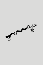 CO[Si](=O)OCCCCOCC1CO1